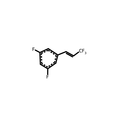 Fc1cc(F)cc(C=CC(F)(F)F)c1